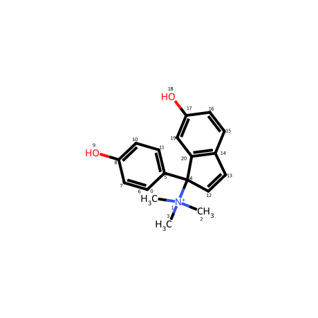 C[N+](C)(C)C1(c2ccc(O)cc2)C=Cc2ccc(O)cc21